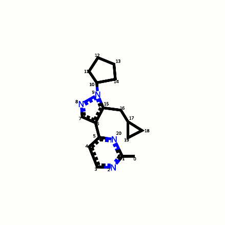 Cc1nccc(-c2cnn(C3CCCC3)c2CC2CC2)n1